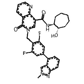 Cn1cc2c(-c3cc(F)c(Cn4cc(C(=O)N[C@H]5CCCCC[C@@H]5O)c5ncccc5c4=O)c(F)c3)cccc2n1